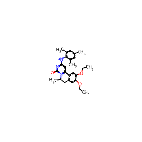 CCOc1cc2c(cc1OCC)-c1cc(Nc3c(C)cc(C)cc3C)nc(=O)n1C(C)C2